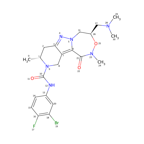 C[C@@H]1Cc2nn3c(c2CN1C(=O)Nc1ccc(F)c(Br)c1)C(=O)N(C)O[C@H](CN(C)C)C3